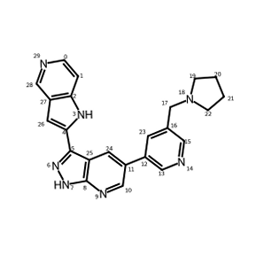 c1cc2[nH]c(-c3n[nH]c4ncc(-c5cncc(CN6CCCC6)c5)cc34)cc2cn1